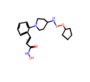 O=C(/C=C/c1ccccc1N1CCC(NSOC2CCCC2)CC1)NO